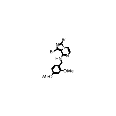 COc1ccc(CNc2nccn3c(Br)nc(Br)c23)c(OC)c1